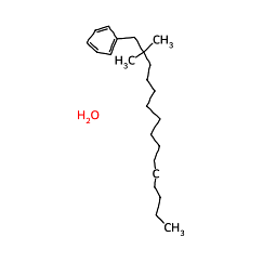 CCCCCCCCCCCCCC(C)(C)Cc1ccccc1.O